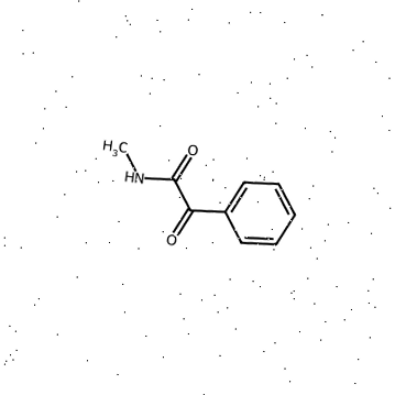 CNC(=O)C(=O)c1ccccc1